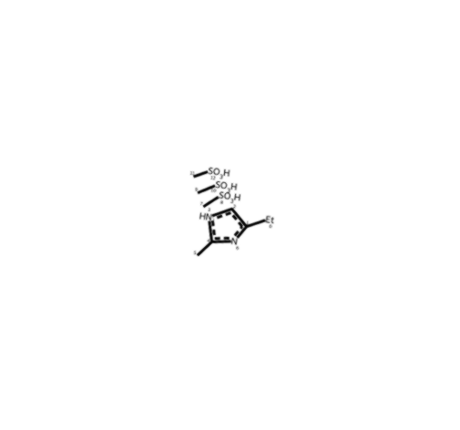 CCc1c[nH]c(C)n1.CS(=O)(=O)O.CS(=O)(=O)O.CS(=O)(=O)O